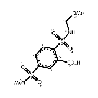 CNS(=O)(=O)c1ccc(S(=O)(=O)NCOC)c(C(=O)O)c1